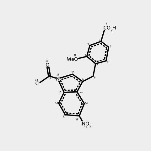 COc1cc(C(=O)O)ccc1Cc1cn(C(=O)Cl)c2ccc([N+](=O)[O-])cc12